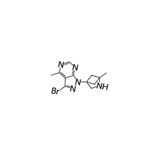 Cc1ncnc2c1c(Br)nn2C12CNC(C)(C1)C2